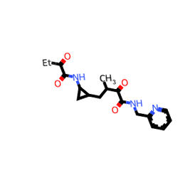 CCC(=O)C(=O)NC1CC1CC(C)C(=O)C(=O)NCc1ccccn1